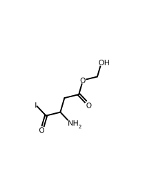 NC(CC(=O)OCO)C(=O)I